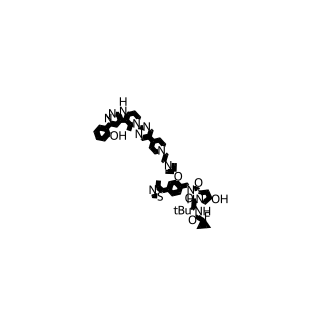 Cc1ncsc1-c1ccc(CNC(=O)[C@@H]2C[C@@H](O)CN2C(=O)[C@@H](NC(=O)C2(F)CC2)C(C)(C)C)c(OC2CN(CCN3CCC(c4cnc(N5CCc6[nH]c7nnc(-c8ccccc8O)cc7c6C5C)nc4)CC3)C2)c1